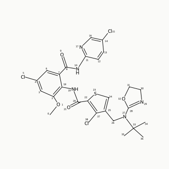 COc1cc(Cl)cc(C(=O)Nc2ccc(Cl)cn2)c1NC(=O)c1scc(CN(C2=NCCO2)C(C)(C)C)c1Cl